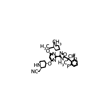 C[C@H](Oc1cc(O[C@H]2CCN[C@H](CC#N)C2)nc(-c2noc(C(C)(C)c3c(F)cccc3F)n2)n1)[C@@H]1CCCN1C